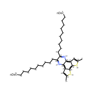 CCCCCCCCCCCCCCCCCCCCc1nc2c3cc(C)sc3c3sc(C)cc3c2nc1CCCCCCCCCCCCCCCCCCCC